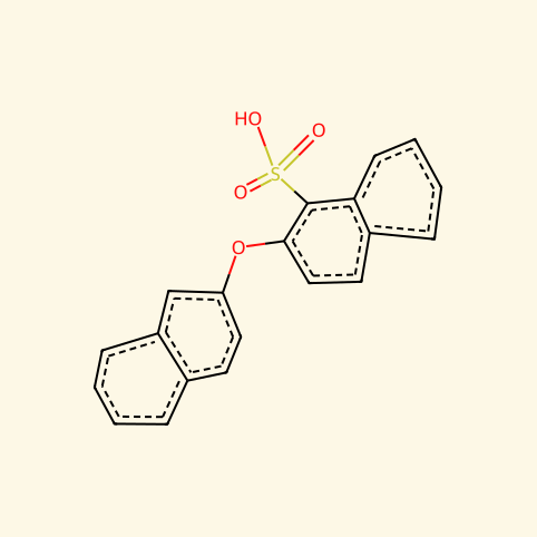 O=S(=O)(O)c1c(Oc2ccc3ccccc3c2)ccc2ccccc12